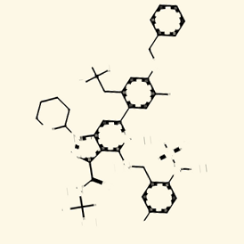 CN(c1ccc(F)cc1CNc1nc(-c2cc(F)c(OCc3ccccc3)cc2CC(F)(F)F)cc2c1c(C(=O)NC(C)(C)C)nn2C1CCCCO1)S(C)(=O)=O